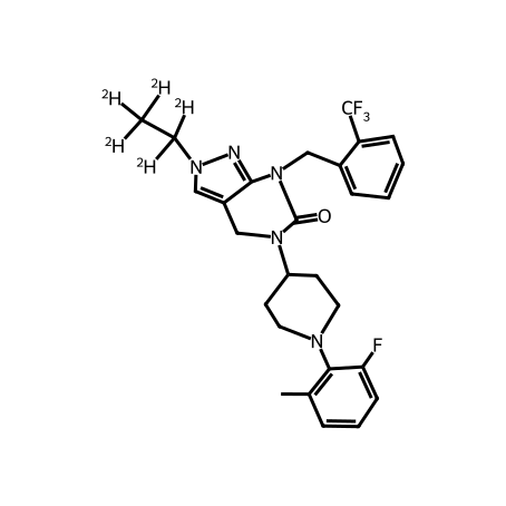 [2H]C([2H])([2H])C([2H])([2H])n1cc2c(n1)N(Cc1ccccc1C(F)(F)F)C(=O)N(C1CCN(c3c(C)cccc3F)CC1)C2